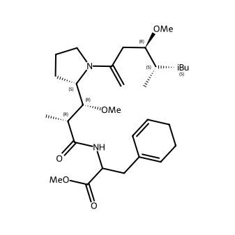 C=C(C[C@@H](OC)[C@@H](C)[C@@H](C)CC)N1CCC[C@H]1[C@H](OC)[C@@H](C)C(=O)NC(CC1=CCCC=C1)C(=O)OC